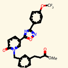 COC(=O)CCc1cccc(Cn2cc(-c3nc(-c4ccc(OC(F)(F)F)cc4)no3)ccc2=O)c1